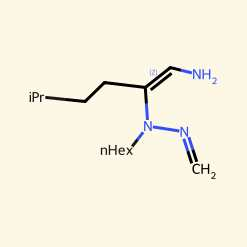 C=NN(CCCCCC)/C(=C\N)CCC(C)C